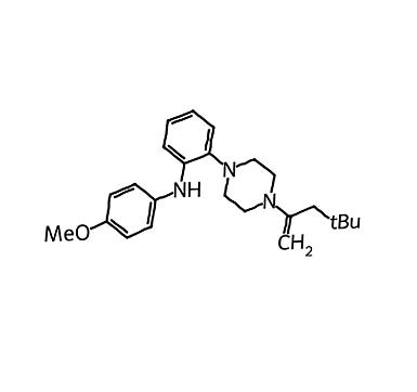 C=C(CC(C)(C)C)N1CCN(c2ccccc2Nc2ccc(OC)cc2)CC1